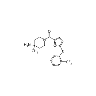 CC1(N)CCN(C(=O)c2ccc(Sc3ccccc3C(F)(F)F)o2)CC1